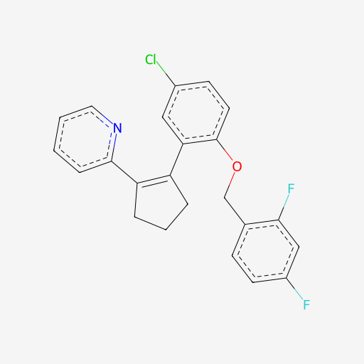 Fc1ccc(COc2ccc(Cl)cc2C2=C(c3ccccn3)CCC2)c(F)c1